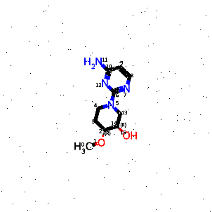 CO[C@@H]1CCN(c2nccc(N)n2)C[C@H]1O